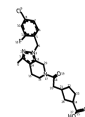 Cc1nn(Cc2ccc(Cl)cc2F)c2c1CCN(C(=O)CC1CCC(C(=O)O)C1)C2